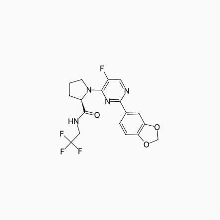 O=C(NCC(F)(F)F)[C@H]1CCCN1c1nc(-c2ccc3c(c2)OCO3)ncc1F